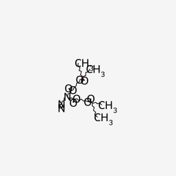 CCCCCCC(CCCC)C(=O)OCCCCOC(=O)CCN(CCCn1ccnc1)CCC(=O)OCCCCOC(=O)C(CCCC)CCCCCC